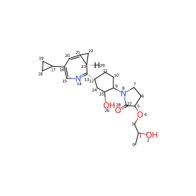 CC(O)COC1CCN(C2CC[C@@H](C3=NC=C(C4CC4)C=C4C[C@H]43)CC2O)C1=O